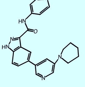 O=C(Nc1ccncc1)c1n[nH]c2ccc(-c3cncc(N4CCCCC4)c3)cc12